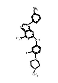 CN1CCN(c2ccc(Nc3nc(N)c4ncn(-c5cccc(N)c5)c4n3)cc2F)CC1